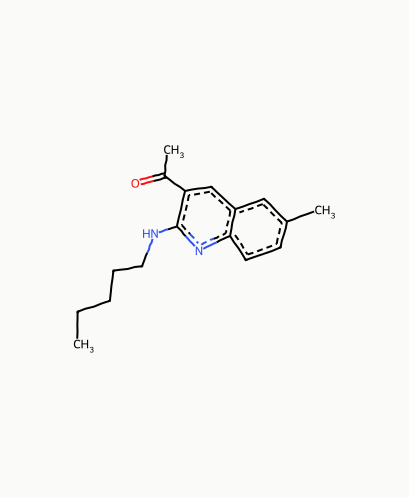 CCCCCNc1nc2ccc(C)cc2cc1C(C)=O